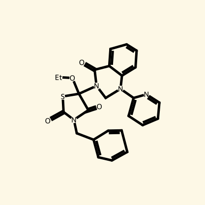 CCOC1(N2CN(c3ccccn3)c3ccccc3C2=O)SC(=O)N(Cc2ccccc2)C1=O